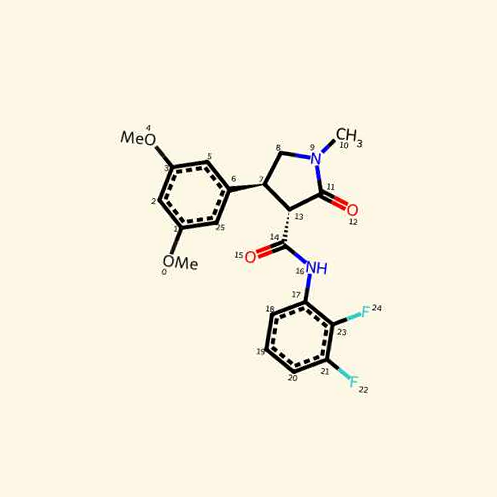 COc1cc(OC)cc([C@H]2CN(C)C(=O)[C@@H]2C(=O)Nc2cccc(F)c2F)c1